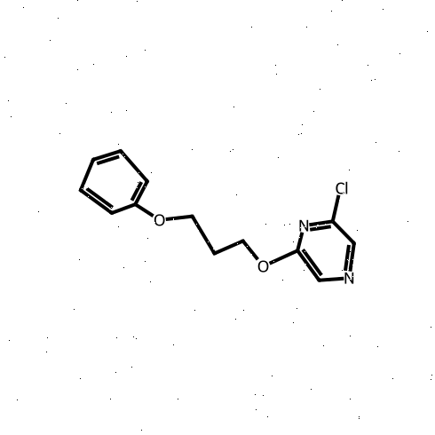 Clc1cncc(OCCCOc2ccccc2)n1